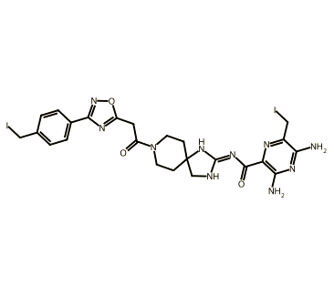 Nc1nc(N)c(C(=O)/N=C2\NCC3(CCN(C(=O)Cc4nc(-c5ccc(CI)cc5)no4)CC3)N2)nc1CI